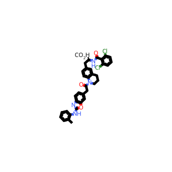 Cc1ccccc1Nc1nc2ccc(CC(=O)N3CCCc4cc(C[C@H](NC(=O)c5c(Cl)cccc5Cl)C(=O)O)ccc43)cc2o1